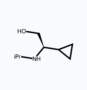 CC(C)N[C@@H](CO)C1CC1